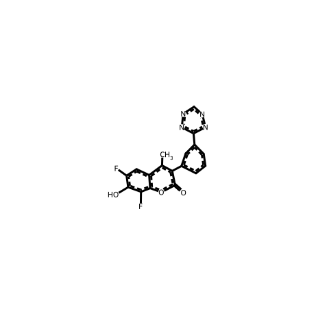 Cc1c(-c2cccc(-c3nncnn3)c2)c(=O)oc2c(F)c(O)c(F)cc12